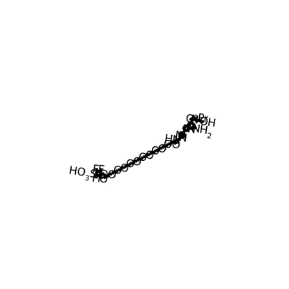 CCCN(CCCO)C(=O)C1=Cc2ccc(-c3cnc(CNC(=O)CCOCCOCCOCCOCCOCCOCCOCCOCCOCCOCCC(=O)Oc4c(F)c(F)c(S(=O)(=O)O)c(F)c4F)nc3)cc2N=C(N)C1